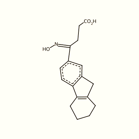 O=C(O)CC/C(=N/O)c1ccc2c(c1)CC1=C2CCCC1